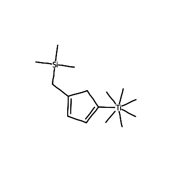 C[Si](C)(C)CC1=CC=[C]([Ti]([CH3])([CH3])([CH3])([CH3])([CH3])[CH3])C1